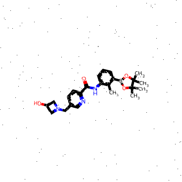 Cc1c(NC(=O)c2ccc(CN3CC(O)C3)cn2)cccc1B1OC(C)(C)C(C)(C)O1